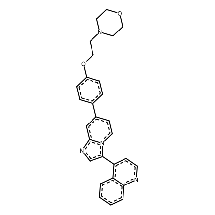 c1ccc2c(-c3cnc4cc(-c5ccc(OCCN6CCOCC6)cc5)ccn34)ccnc2c1